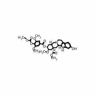 CCOC(=O)Oc1c(OC)cc(C(=O)O[C@@H]2C[C@@H]3CN4CCc5c([nH]c6cc(O)ccc56)[C@H]4C[C@@H]3[C@H](C(=O)OC)[C@H]2OC)cc1OC